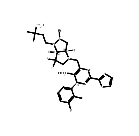 CCOC(=O)C1=C(CN2CC(F)(F)[C@H]3[C@@H]2CN(CC)N3CCC(C)(C)C(=O)O)NC(c2nccs2)=N[C@H]1c1cccc(F)c1C